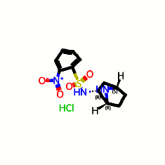 Cl.O=[N+]([O-])c1ccccc1S(=O)(=O)N[C@@H]1C[C@@H]2CC[C@H]1N2